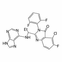 CCC(Nc1ncnc2[nH]cnc12)c1nc2ccc(F)c(Cl)c2c(=O)n1-c1c(F)cccc1F